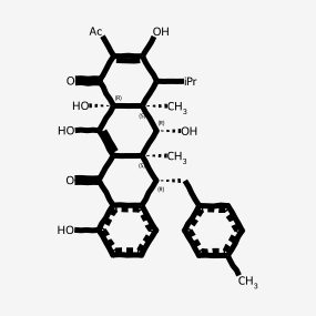 CC(=O)C1=C(O)C(C(C)C)[C@@]2(C)[C@H](O)[C@]3(C)C(=C(O)[C@@]2(O)C1=O)C(=O)c1c(O)cccc1[C@H]3Cc1ccc(C)cc1